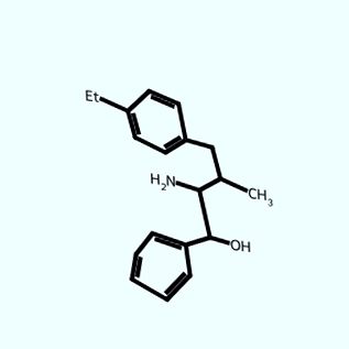 CCc1ccc(CC(C)C(N)C(O)c2ccccc2)cc1